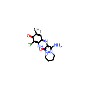 CC1=C/C(=N/c2c(N)n3n(c2=O)CCCC3)C(N)=C(Cl)C1=O